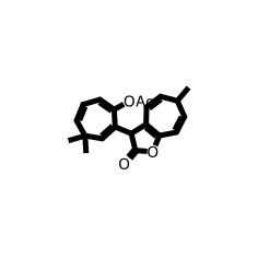 CC(=O)OC1=CC=CC(C)(C)C=C1C1C(=O)OC2=C1C=CC(C)C=C2